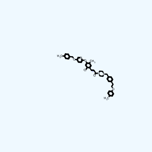 Cc1ccc(COc2ccc(Oc3cc(Cl)c(/C=C/C(=O)N4CCN(Cc5ccc(CCOc6ccc(C)cc6)cc5)CC4)cc3C)nc2)cc1